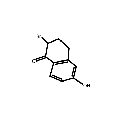 O=C1c2ccc(O)cc2CCC1Br